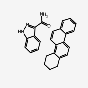 NC(=O)c1n[nH]c2ccccc12.c1ccc2c(c1)ccc1c3c(ccc12)CCCC3